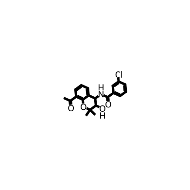 CC(=O)c1cccc2c1OC(C)(C)C(O)C2NC(=O)c1cccc(Cl)c1